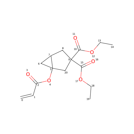 C=CC(=O)OC12CC1CC(C(=O)OCC)(C(=O)OCC)C2